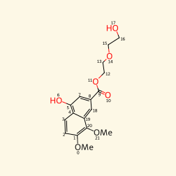 COc1ccc2c(O)cc(C(=O)OCCOCCO)cc2c1OC